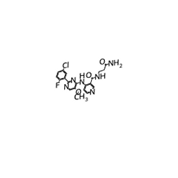 COc1cnc(-c2cc(Cl)ccc2F)nc1Nc1ccncc1C(=O)NCCC(N)=O